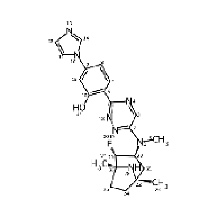 CN(c1cnc(-c2ccc(-n3ccnc3)cc2O)nn1)[C@H]1C[C@]2(C)CC[C@@](C)(N2)[C@H]1F